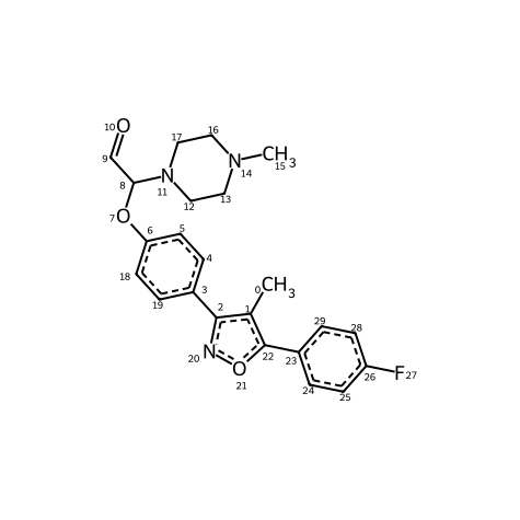 Cc1c(-c2ccc(OC(C=O)N3CCN(C)CC3)cc2)noc1-c1ccc(F)cc1